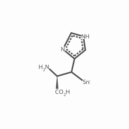 N[C@H](C(=O)O)[CH]([Sn])c1c[nH]cn1